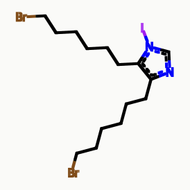 BrCCCCCCc1ncn(I)c1CCCCCCBr